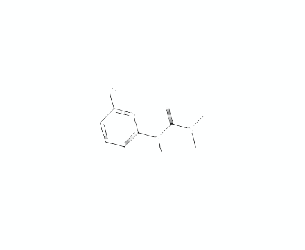 CN(C)C(=O)N(C(=O)O)c1cccc(C#N)n1